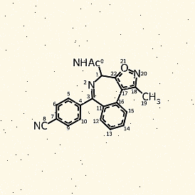 CC(=O)NC1N=C(c2ccc(C#N)cc2)c2ccccc2-c2c(C)noc21